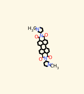 C[n+]1cccc(N2C(=O)c3ccc4c5ccc6c7c(ccc(c8ccc(c3c48)C2=O)c75)C(=O)N(c2ccc[n+](C)c2)C6=O)c1